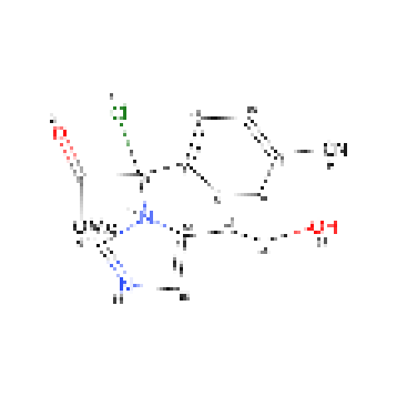 COC(=O)C(Cl)(c1ccc(C#N)cc1)n1cncc1CCO